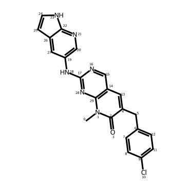 Cn1c(=O)c(Cc2ccc(Cl)cc2)cc2cnc(Nc3cnc4[nH]ccc4c3)nc21